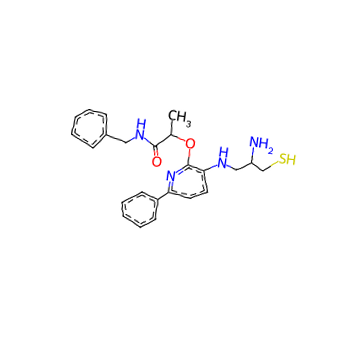 CC(Oc1nc(-c2ccccc2)ccc1NCC(N)CS)C(=O)NCc1ccccc1